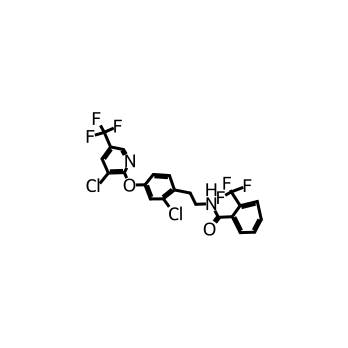 O=C(NCCc1ccc(Oc2ncc(C(F)(F)F)cc2Cl)cc1Cl)c1ccccc1C(F)(F)F